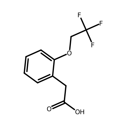 O=C(O)Cc1ccccc1OCC(F)(F)F